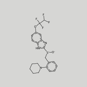 [O-][S+](Cc1ccccc1N1CCCCC1)c1nc2cc(OC(F)(F)C(F)F)ccc2[nH]1